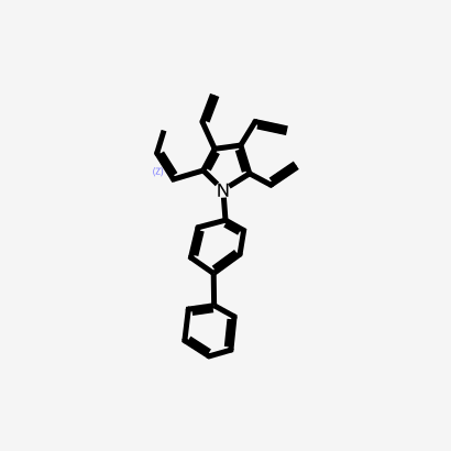 C=Cc1c(C=C)c(/C=C\C)n(-c2ccc(-c3ccccc3)cc2)c1C=C